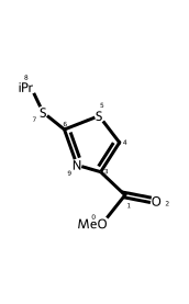 COC(=O)c1csc(SC(C)C)n1